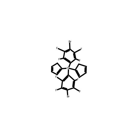 Fc1c(F)[c]([Ti]([C]2=CC=CC2)([C]2=CC=CC2)[c]2c(F)c(F)c(Br)c(F)c2F)c(F)c(F)c1Br